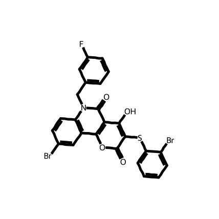 O=c1oc2c(c(O)c1Sc1ccccc1Br)c(=O)n(Cc1cccc(F)c1)c1ccc(Br)cc21